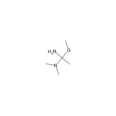 COC(C)(N)N(C)C